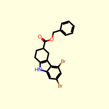 O=C(OCc1ccccc1)C1CCc2[nH]c3cc(Br)cc(Br)c3c2C1